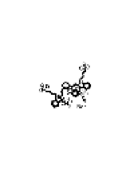 CC1(C)C(/C=C/C2=C(Sc3ccc(N=C=S)cc3)C(=C/C=C3/N(CCCCS(=O)(=O)[O-])c4ccccc4C3(C)C)/CCC2)=[N+](CCCCS(=O)(=O)[O-])c2ccccc21.[Na+]